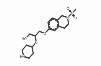 CS(=O)(=O)N1CCc2cc(OCC(CO)OC3CCNCC3)ccc2C1